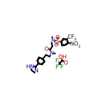 CN(CCc1ccc(C2=NCCN2)cc1)C(=O)CCN(C)S(=O)(=O)c1ccc([N+](=O)[O-])c(C(F)(F)F)c1.O=C(O)C(F)(F)F